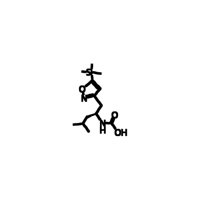 CC(C)C[C@@H](Cc1cc([Si](C)(C)C)on1)NC(=O)O